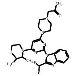 CC(=O)CN1CCN(c2cc(N3CCOC(C)C3C)nc(-n3c(C(F)F)nc4ccccc43)n2)CC1